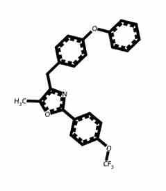 Cc1oc(-c2ccc(OC(F)(F)F)cc2)nc1Cc1ccc(Oc2ccccc2)cc1